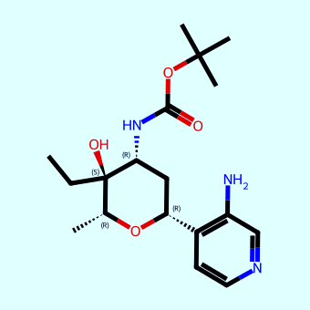 CC[C@]1(O)[C@H](NC(=O)OC(C)(C)C)C[C@H](c2ccncc2N)O[C@@H]1C